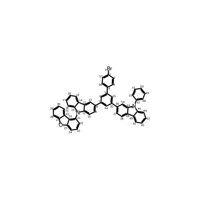 Brc1ccc(-c2cc(-c3ccc4c(c3)c3ccccc3n4-c3cccc4oc5ccccc5c34)cc(-c3ccc4c5ccccc5n(-c5ccccc5)c4c3)c2)cc1